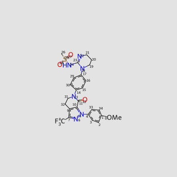 COc1ccc(-n2nc(C(F)(F)F)c3c2C(=O)N(c2ccc(N4CCCN=C4NS(C)(=O)=O)cc2)CC3)cc1